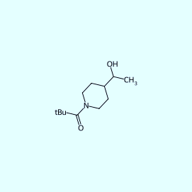 CC(O)C1CCN(C(=O)C(C)(C)C)CC1